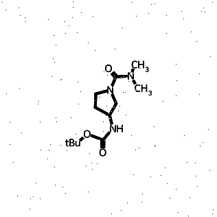 CN(C)C(=O)N1CCC(NC(=O)OC(C)(C)C)C1